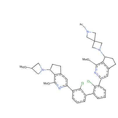 COc1nc(-c2cccc(-c3cccc(-c4cc5c(c(OC)n4)C(N4CC6(CN(C(C)=O)C6)C4)CC5)c3Cl)c2Cl)cc2c1C(N1CC(OC)C1)CC2